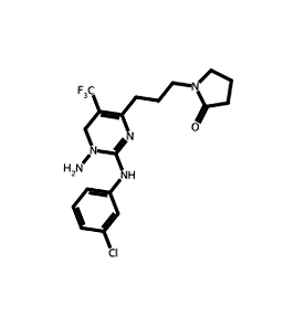 NN1CC(C(F)(F)F)=C(CCCN2CCCC2=O)N=C1Nc1cccc(Cl)c1